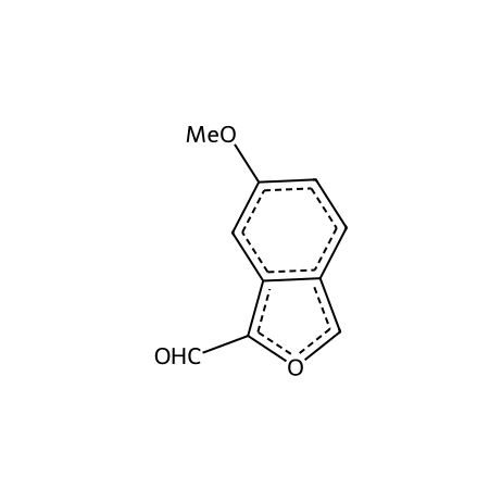 COc1ccc2coc(C=O)c2c1